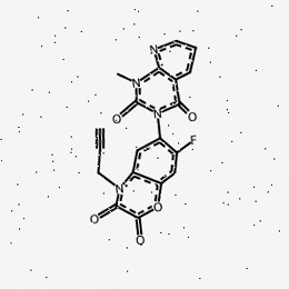 C#CCn1c(=O)c(=O)oc2cc(F)c(-n3c(=O)c4cccnc4n(C)c3=O)cc21